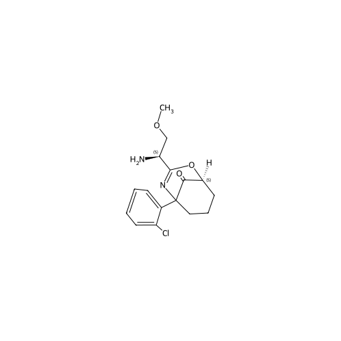 COC[C@H](N)C1=NC2(c3ccccc3Cl)CCC[C@H](O1)C2=O